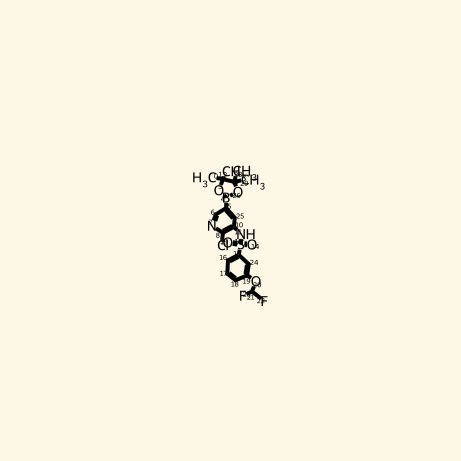 CC1(C)OB(c2cnc(Cl)c(NS(=O)(=O)c3cccc(OC(F)F)c3)c2)OC1(C)C